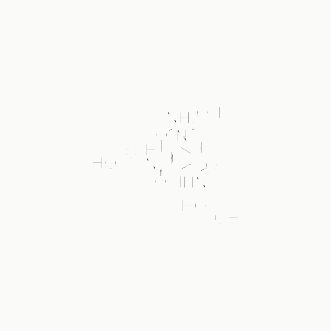 NC(=O)N(CCO)c1c(I)c(C(=O)NCC(O)CO)c(I)c(C(=O)NCC(O)CO)c1I